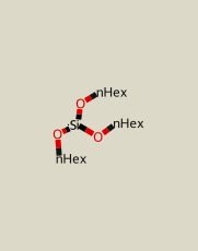 CCCCCCO[Si](OCCCCCC)OCCCCCC